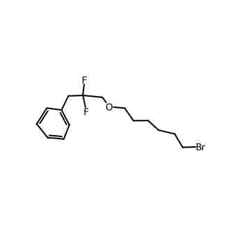 FC(F)(COCCCCCCBr)Cc1ccccc1